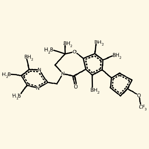 Bc1nc(CN2CC(B)(B)Oc3c(B)c(B)c(-c4ccc(OC(F)(F)F)cc4)c(B)c3C2=O)nc(B)c1B